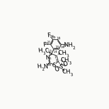 C[C@@H]1[C@@](C)(S(C)(=O)=O)SC(N)=N[C@]1(C)c1cc(N)cc(F)c1F